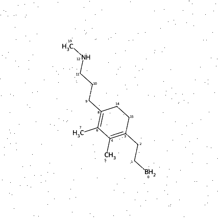 BCCC1=C(C)C(C)=C(CCCNC)CC1